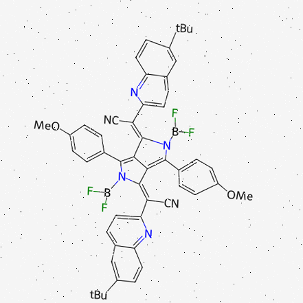 COc1ccc(-c2c3/c(=C(\C#N)c4ccc5cc(C(C)(C)C)ccc5n4)n(B(F)F)c(-c4ccc(OC)cc4)c3/c(=C(\C#N)c3ccc4cc(C(C)(C)C)ccc4n3)n2B(F)F)cc1